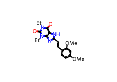 CCn1c(=O)c2[nH]c(/C=C/c3ccc(OC)cc3OC)nc2n(CC)c1=O